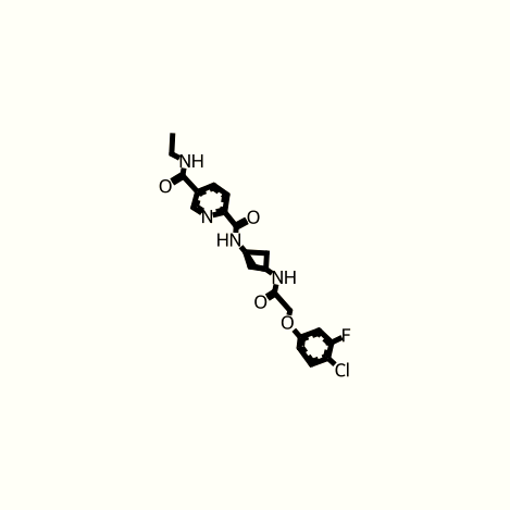 CCNC(=O)c1ccc(C(=O)NC23CC(NC(=O)COc4ccc(Cl)c(F)c4)(C2)C3)nc1